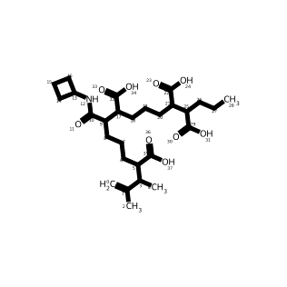 C=C(C)C(C)C(CCCC(C(=O)NC1CCC1)C(CCCC(C(=O)O)C(CCC)C(=O)O)C(=O)O)C(=O)O